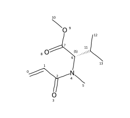 C=CC(=O)N(C)[C@H](C(=O)OC)C(C)C